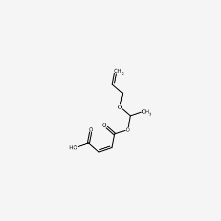 C=CCOC(C)OC(=O)/C=C\C(=O)O